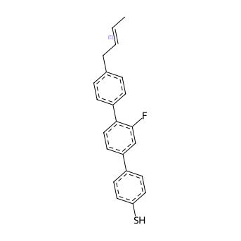 C/C=C/Cc1ccc(-c2ccc(-c3ccc(S)cc3)cc2F)cc1